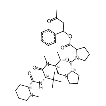 CC(=O)CC(OC(=O)C1CCCN1C(=O)[C@@H]1CCCN1C[C@H](C(C)C)N(C)C(=O)[C@@H](NC(=O)[C@H]1CCCCN1C)C(C)(C)C)c1ccccc1